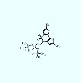 CCc1cc2c(s1)-c1sc(C)cc1N(CC[Si](C)(O[Si](C)(C)C)O[Si](C)(C)C)S2(=O)=O